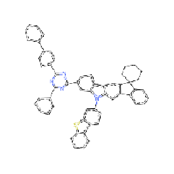 c1ccc(-c2ccc(-c3nc(-c4ccccc4)nc(-c4ccc5c6cc7c(cc6n(-c6ccc8c(c6)sc6ccccc68)c5c4)-c4ccccc4C74CCCCC4)n3)cc2)cc1